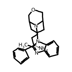 Cc1nc2ccccc2n1C1CC2COCC(C1)N2CC[C@H](N)c1ccccc1